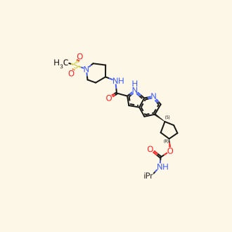 CC(C)NC(=O)O[C@@H]1CC[C@H](c2cnc3[nH]c(C(=O)NC4CCN(S(C)(=O)=O)CC4)cc3c2)C1